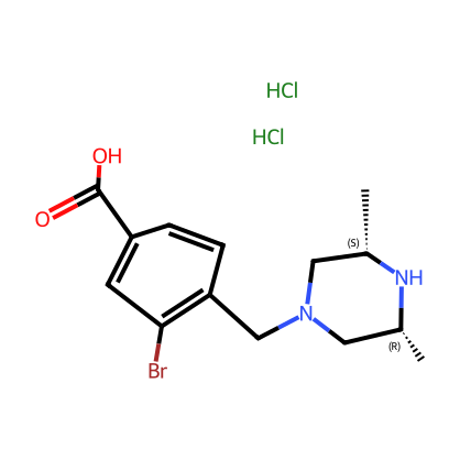 C[C@@H]1CN(Cc2ccc(C(=O)O)cc2Br)C[C@H](C)N1.Cl.Cl